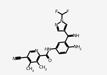 Cc1c(C#N)cnc(C(=O)Nc2ccc(N)c(C(=N)c3cnn(C(F)F)c3)c2)c1C